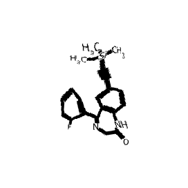 C[Si](C)(C)C#Cc1ccc2c(c1)C(c1ccccc1F)=NCC(=O)N2